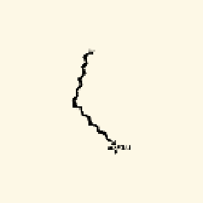 CC(C)(C)[Si](C)(C)OCCCCCCCC/C=C\CCCCCCCCBr